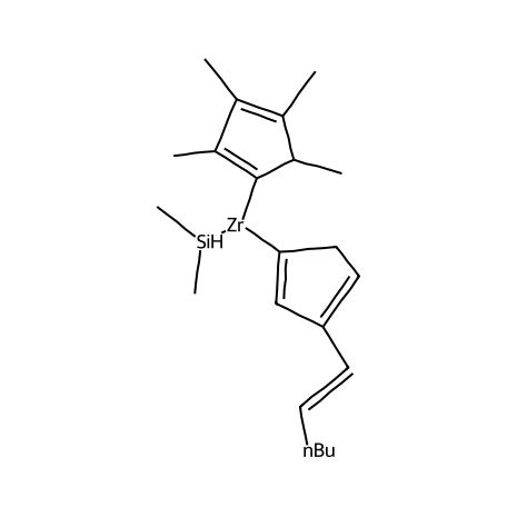 CCCC/C=C/C1=CC[C]([Zr]([C]2=C(C)C(C)=C(C)C2C)[SiH](C)C)=C1